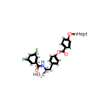 CCCCCCCOc1ccc(C(=O)Oc2ccc(C[C@H](NC(=O)c3cc(F)cc(F)c3)C(=O)O)cc2)cc1